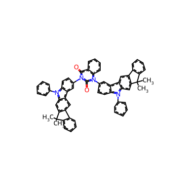 CC1(C)c2ccccc2-c2cc3c4cc(-n5c(=O)c6ccccc6n(-c6ccc7c(c6)c6cc8c(cc6n7-c6ccccc6)C(C)(C)c6ccccc6-8)c5=O)ccc4n(-c4ccccc4)c3cc21